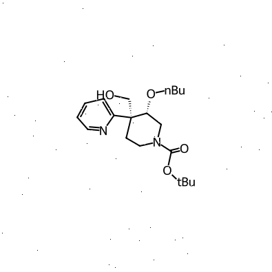 CCCCO[C@@H]1CN(C(=O)OC(C)(C)C)CC[C@@]1(CO)c1ccccn1